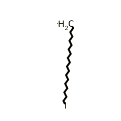 [CH2]CCCCCCCCCCCCCCCCCCI